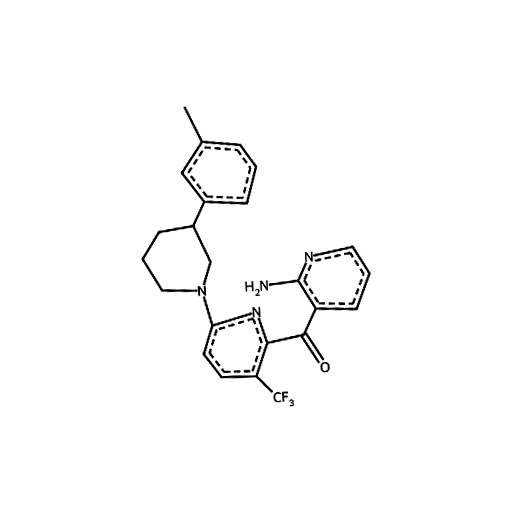 Cc1cccc(C2CCCN(c3ccc(C(F)(F)F)c(C(=O)c4cccnc4N)n3)C2)c1